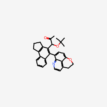 CC(=O)C(OC(C)(C)C)c1c2c(c3ccccc3c1-c1ccc3c4c(ccnc14)CCO3)CCC2